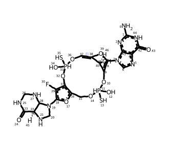 Nc1nc2c(ncn2C2=C3O[PH](O)(S)OCc4oc(N5CN[C@H]6C(=O)NCNC65)c(F)c4O[PH](O)(S)O/C=C(/O2)[C@H]3O)c(=O)[nH]1